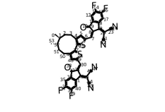 C[C@H]1CCc2cc(/C=C3\C(=O)c4cc(F)c(F)cc4C3=C(C#N)C#N)sc2-c2sc(/C=C3\C(=O)c4cc(F)c(F)cc4C3=C(C#N)C#N)cc2CC[C@@H]1C